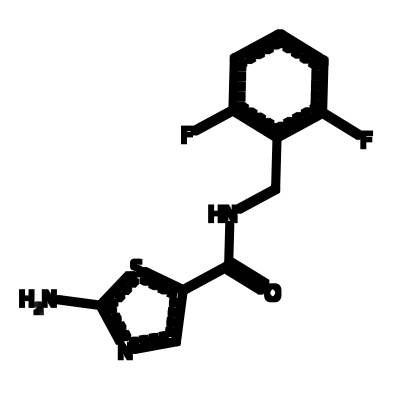 Nc1ncc(C(=O)NCc2c(F)cccc2F)s1